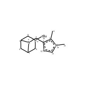 Cc1c(CN2C3CC2CN(C(C)(C)C)C3)ncn1C